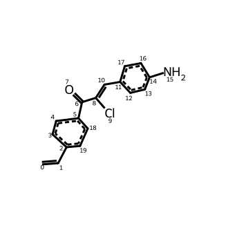 C=Cc1ccc(C(=O)C(Cl)=Cc2ccc(N)cc2)cc1